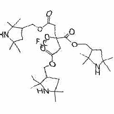 CC1(C)CC(COC(=O)CC(CC(=O)OCC2CC(C)(C)NC2(C)C)(OC(F)(F)F)C(=O)OCC2CC(C)(C)NC2(C)C)C(C)(C)N1